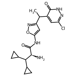 CC(c1cc(NC(=O)[C@@H](N)C(C2CC2)C2CC2)on1)c1cc(Cl)n[nH]c1=O